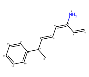 C=C/C(N)=C\C=C\C(C)c1ccccc1